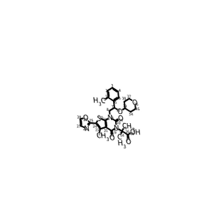 Cc1ccccc1C(Cn1c(=O)n(C(C)(C)C(=O)O)c(=O)c2c(C)c(-c3ncco3)sc21)OC1CCOCC1